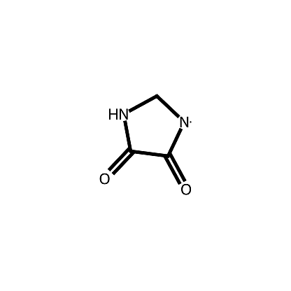 O=C1[N]CNC1=O